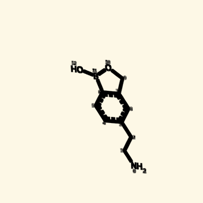 NCCc1ccc2c(c1)COB2O